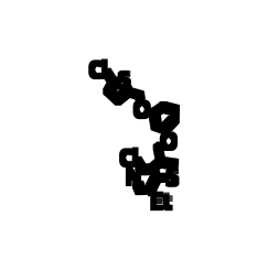 CCc1cnc(Cl)c2c(COc3cccc(OCc4ccc(Cl)s4)c3)csc12